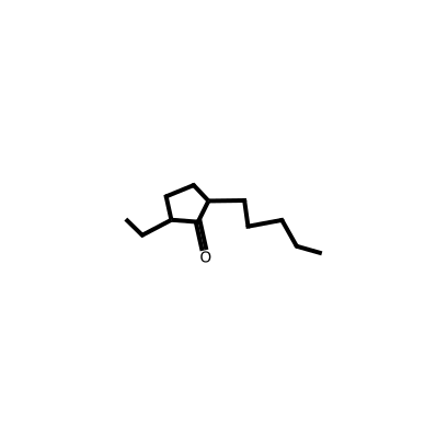 CCCCCC1CCC(CC)C1=O